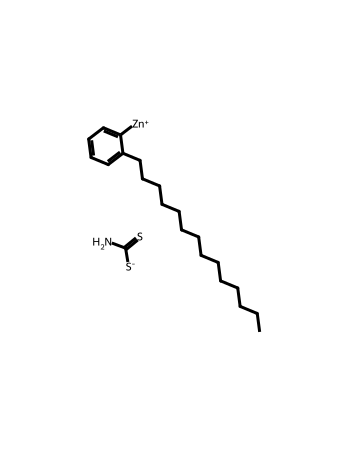 CCCCCCCCCCCCCCc1cccc[c]1[Zn+].NC(=S)[S-]